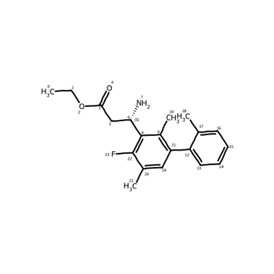 CCOC(=O)C[C@H](N)c1c(C)c(-c2ccccc2C)cc(C)c1F